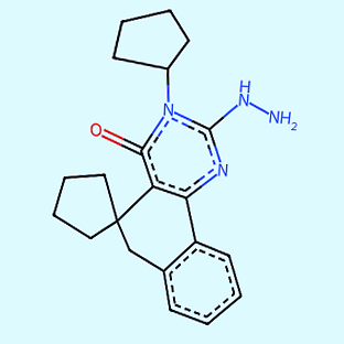 NNc1nc2c(c(=O)n1C1CCCC1)C1(CCCC1)Cc1ccccc1-2